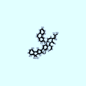 C=C(/C=C\C=C/C)C(/C=C\CN(c1ccc2ccc3ccccc3c2c1)c1ccc2oc3cc4c(cc3c2c1)-c1ccccc1C4(C)C)=C/C(C)C